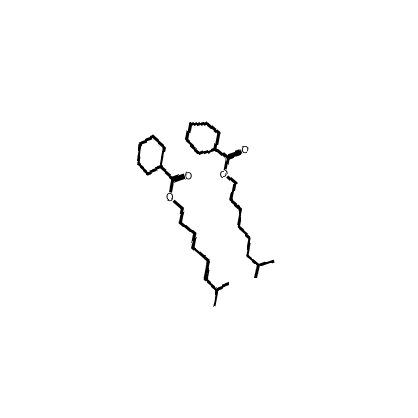 CC(C)CCCCCCOC(=O)C1CCCCC1.CC(C)CCCCCCOC(=O)C1CCCCC1